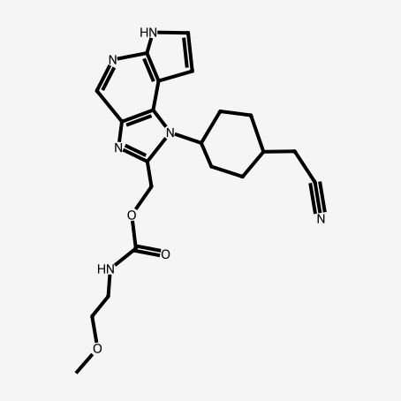 COCCNC(=O)OCc1nc2cnc3[nH]ccc3c2n1C1CCC(CC#N)CC1